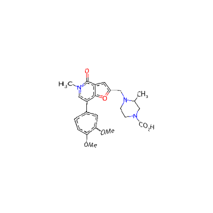 COc1ccc(-c2cn(C)c(=O)c3cc(CN4CCN(C(=O)O)CC4C)oc23)cc1OC